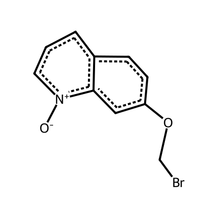 [O-][n+]1cccc2ccc(OCBr)cc21